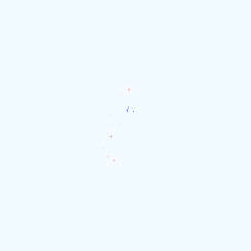 NC(CO)CCOCCO